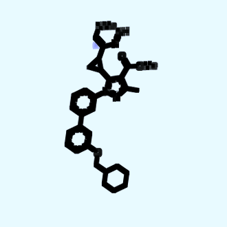 CN/C=C(\N=N)C1CC1c1c(C(=O)OC)c(C)nn1-c1cccc(-c2cccc(OCC3CCCCC3)c2)c1